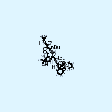 CCCC[C@H](NC(=O)[C@@H]1[C@@H]2[C@H](CN1C(=O)[C@@H](NC(=O)NC1(CS(=O)(=O)N3CCCC3)CCCCC1)C(C)(C)C)C2(C)C)C(=O)C(=O)NC1CC1